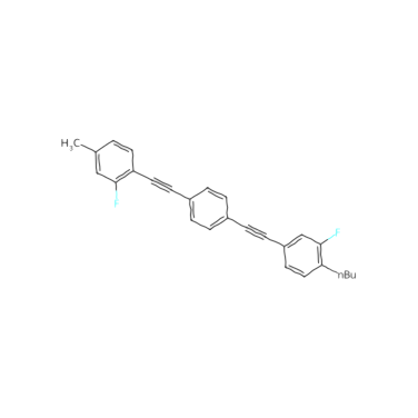 CCCCc1ccc(C#Cc2ccc(C#Cc3ccc(C)cc3F)cc2)cc1F